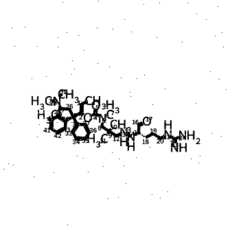 C/C=C(\OC(=O)N(C)CC(C)(C)CNN[C@H](C=O)CCCNC(=N)N)C(CC(C)N(C)C)(c1ccccc1)c1ccccc1